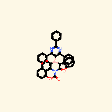 O=C1Oc2cccc3ccc4c(c23)N1c1oc2ccccc2c1B4c1c(-c2ccccc2)nc(-c2ccccc2)nc1-c1ccccc1